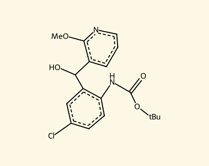 COc1ncccc1C(O)c1cc(Cl)ccc1NC(=O)OC(C)(C)C